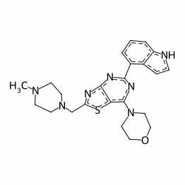 CN1CCN(Cc2nc3nc(-c4cccc5[nH]ccc45)nc(N4CCOCC4)c3s2)CC1